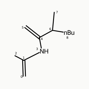 C=C(C)NC(=C)C(C)CCCC